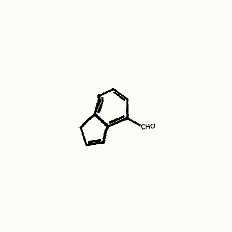 O=Cc1cccc2c1C=C[CH]2